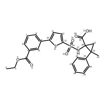 CCOC(=O)c1cccc(-c2ccc(S(=O)(=O)NC3(C(=O)O)CC3(C)c3ccccc3)s2)c1